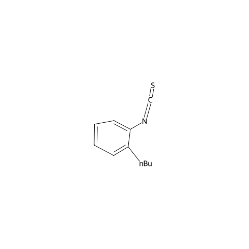 CCCCc1ccccc1N=C=S